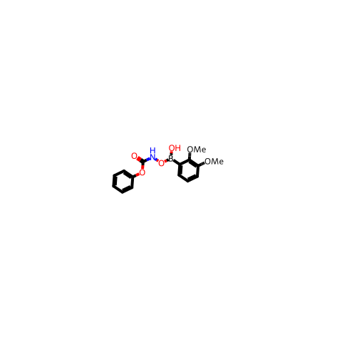 COc1cccc(B(O)ONC(=O)Oc2ccccc2)c1OC